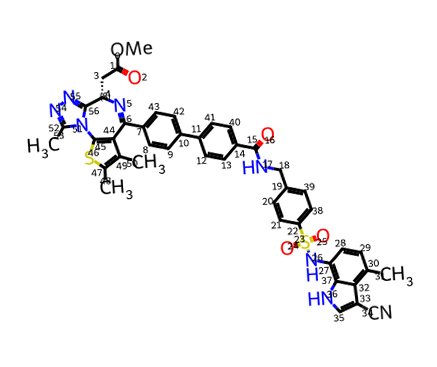 COC(=O)C[C@@H]1N=C(c2ccc(-c3ccc(C(=O)NCc4ccc(S(=O)(=O)Nc5ccc(C)c6c(C#N)c[nH]c56)cc4)cc3)cc2)c2c(sc(C)c2C)-n2c(C)nnc21